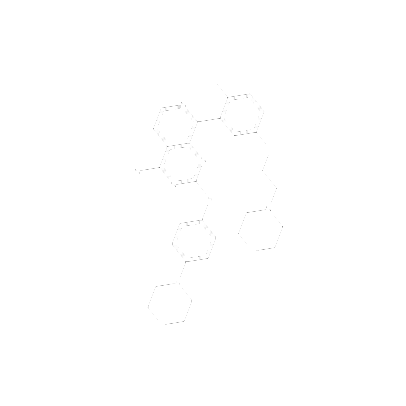 Nc1nc(Nc2ccc(N3CCOCC3)cc2)nc2c(-c3cc(OCCN4CCOCC4)ccc3F)nccc12